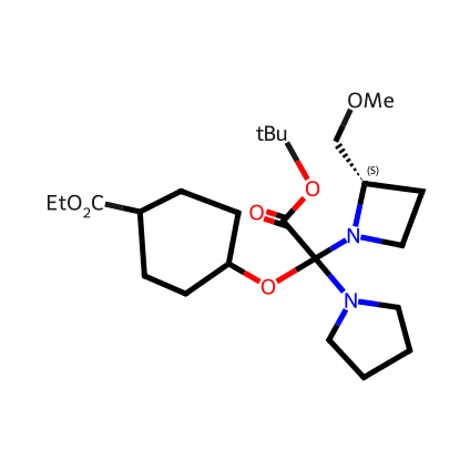 CCOC(=O)C1CCC(OC(C(=O)OC(C)(C)C)(N2CCCC2)N2CC[C@H]2COC)CC1